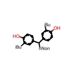 CCCCCCCCCC(c1ccc(O)c(C(C)CC)c1)c1ccc(O)c(C(C)CC)c1